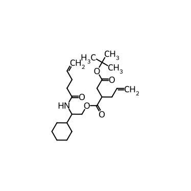 C=CCCC(=O)NC(COC(=O)C(CC=C)CC(=O)OC(C)(C)C)C1CCCCC1